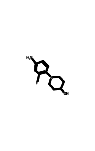 Nc1ccc(N2CCC(O)CC2)c(F)c1